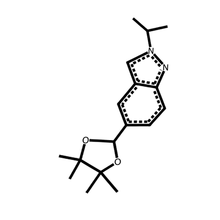 CC(C)n1cc2cc(C3OC(C)(C)C(C)(C)O3)ccc2n1